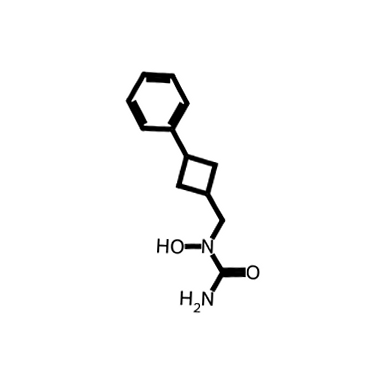 NC(=O)N(O)CC1CC(c2ccccc2)C1